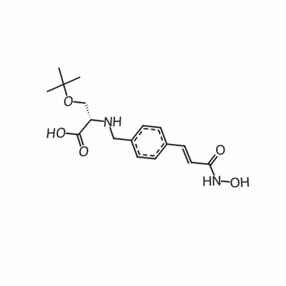 CC(C)(C)OC[C@H](NCc1ccc(C=CC(=O)NO)cc1)C(=O)O